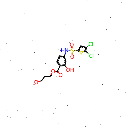 COCCCOC(=O)c1ccc(NS(=O)(=O)c2cc(Cl)c(Cl)s2)cc1O